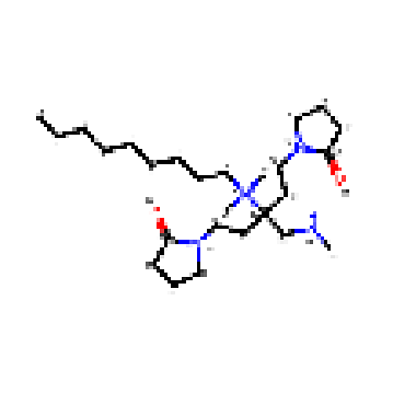 CCCCCCCCC[N+](C)(C)C(CCN1CCCC1=O)(CCN1CCCC1=O)CNC